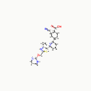 Cc1nc(COc2ncccn2)sc1-c1cccc(-c2ccc(C(=O)O)c(C#N)c2)n1